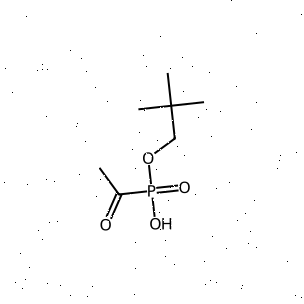 CC(=O)P(=O)(O)OCC(C)(C)C